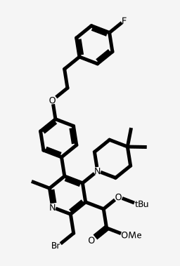 COC(=O)C(OC(C)(C)C)c1c(CBr)nc(C)c(-c2ccc(OCCc3ccc(F)cc3)cc2)c1N1CCC(C)(C)CC1